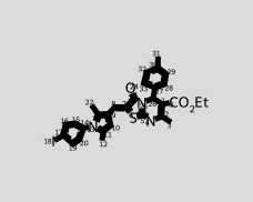 CCOC(=O)C1=C(C)N=c2s/c(=C\c3cc(C)n(-c4ccc(I)cc4)c3C)c(=O)n2C1c1ccc(C)cc1